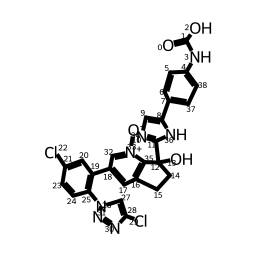 O=C(O)Nc1ccc(-c2cnc(C3(O)CCc4cc(-c5cc(Cl)ccc5-n5cc(Cl)nn5)c[n+]([O-])c43)[nH]2)cc1